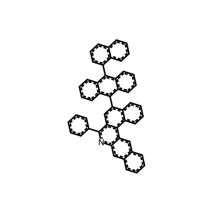 c1ccc(-c2nc3cc4ccccc4cc3c3c2cc(-c2c4ccccc4c(-c4cccc5ccccc45)c4ccccc24)c2ccccc23)cc1